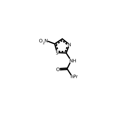 CCCC(=O)Nc1ncc([N+](=O)[O-])s1